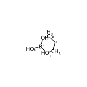 CCC.OB(O)O